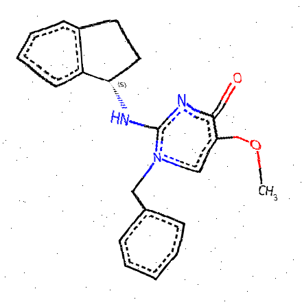 COc1cn(Cc2ccccc2)c(N[C@H]2CCc3ccccc32)nc1=O